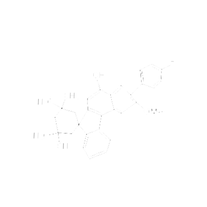 COc1cc2c3c(cc(O)c2cc1-c1ccc(F)cc1)C1(CC(C)(C)CC(C)(C)C1)c1ccccc1-3